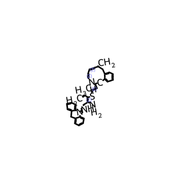 C=C/C(S/C(C)=C/C1Cc2ccccc2CC(=C)/C=C\C=C/N1)=C(/N)CNN1c2ccccc2Cc2ccccc21